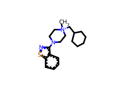 C[N+]1(CC2CCCCC2)CCN(c2nsc3ccccc23)CC1